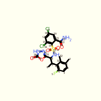 Cc1ccc(F)c(C(C)C(NS(=O)(=O)c2c(Cl)cc(Cl)cc2C(N)=O)c2n[nH]c(=O)o2)c1C